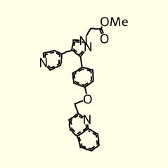 COC(=O)Cn1cc(-c2ccncc2)c(-c2ccc(OCc3ccc4ccccc4n3)cc2)n1